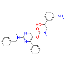 CN(CC(O)c1cccc(N)c1)C(=O)Oc1cnc(N(C)Cc2ccccc2)nc1-c1ccccc1